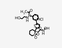 CC(=O)N(NCCO)c1cccc(-c2ccc([C@@]3(CC(=O)NO)CCCCS3(=O)=O)s2)c1.Cl